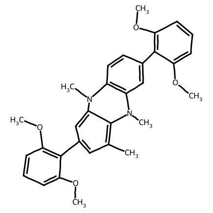 COc1cccc(OC)c1-c1ccc2c(c1)N(C)c1c(C)cc(-c3c(OC)cccc3OC)cc1N2C